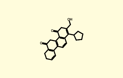 O=C1Cc2c(ccc3c2C(=O)CC(CO)=C3C2CCCC2)C2=C1CCC=C2